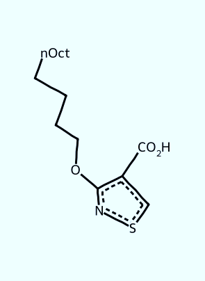 CCCCCCCCCCCCOc1nscc1C(=O)O